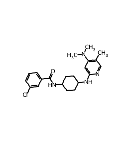 Cc1cnc(NC2CCC(NC(=O)c3cccc(Cl)c3)CC2)cc1N(C)C